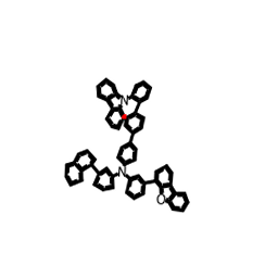 c1cc(-c2cccc3ccccc23)cc(N(c2ccc(-c3ccc(-c4ccccc4-n4c5ccccc5c5ccccc54)cc3)cc2)c2cccc(-c3cccc4c3oc3ccccc34)c2)c1